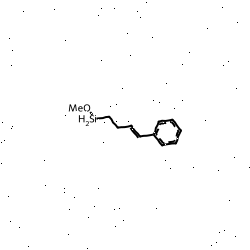 CO[SiH2]CCC=Cc1ccccc1